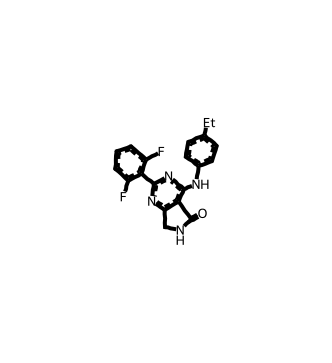 CCc1ccc(Nc2nc(-c3c(F)cccc3F)nc3c2C(=O)NC3)cc1